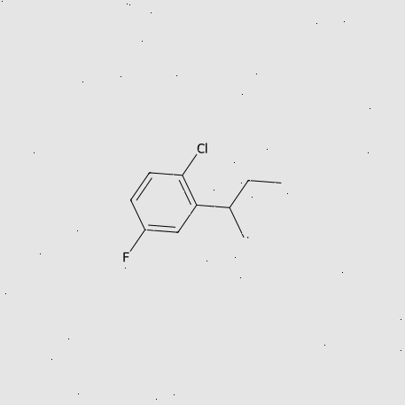 [CH2]C(CC)c1cc(F)ccc1Cl